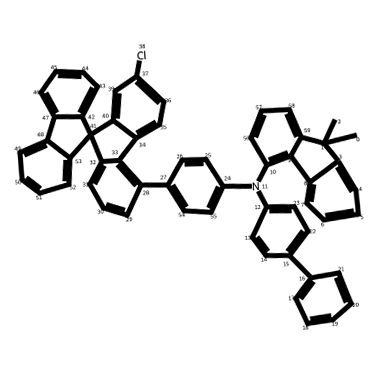 CC1(C)c2ccccc2-c2c(N(c3ccc(-c4ccccc4)cc3)c3ccc(-c4cccc5c4-c4ccc(Cl)cc4C54c5ccccc5-c5ccccc54)cc3)cccc21